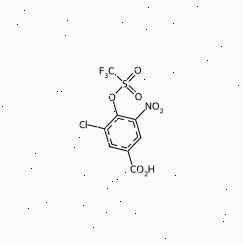 O=C(O)c1cc(Cl)c(OS(=O)(=O)C(F)(F)F)c([N+](=O)[O-])c1